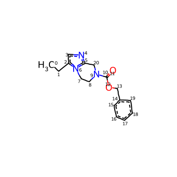 CCc1cnc2n1CCN(C(=O)OCc1ccccc1)C2